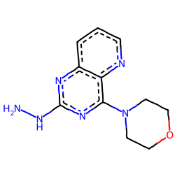 NNc1nc(N2CCOCC2)c2ncccc2n1